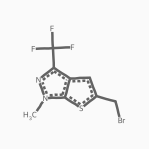 Cn1nc(C(F)(F)F)c2cc(CBr)sc21